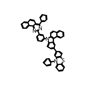 c1ccc(-c2nc(-c3cccc(-n4c5ccc(-c6ccc7c(c6)N(c6ccccc6)c6ccccc6S7)cc5c5c6ccccc6ccc54)c3)nc3c2ccc2ccccc23)cc1